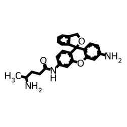 CC(N)CCC(=O)Nc1ccc2c(c1)Oc1cc(N)ccc1C21OCc2ccccc21